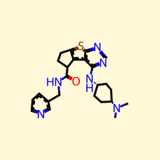 CN(C)[C@H]1CC[C@H](Nc2ncnc3sc4c(c23)C(C(=O)NCc2cccnc2)CC4)CC1